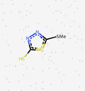 CSc1nnc(S)s1